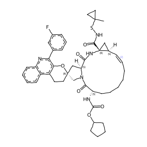 CC1(SNC(=O)[C@@]23C[C@H]2/C=C\CCCCC[C@H](NC(=O)OC2CCCC2)C(=O)N2C[C@@]4(CCc5c(c(-c6cccc(F)c6)nc6ccccc56)O4)C[C@H]2C(=O)N3)CC1